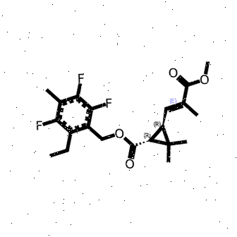 CCc1c(F)c(C)c(F)c(F)c1COC(=O)[C@@H]1[C@@H](/C=C(\C)C(=O)OC)C1(C)C